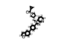 O=C(C1CC1)N1CC[C@H](Cn2c(-c3ccc(-c4ccc5occc5c4)cc3)nc3ncccc32)C1